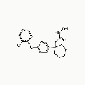 O=C(CC1(c2ccc(Oc3ccccc3Cl)cc2)CCCCS1)NO